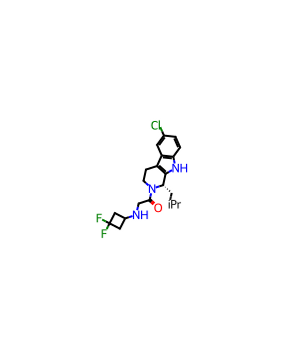 CC(C)C[C@H]1c2[nH]c3ccc(Cl)cc3c2CCN1C(=O)CNC1CC(F)(F)C1